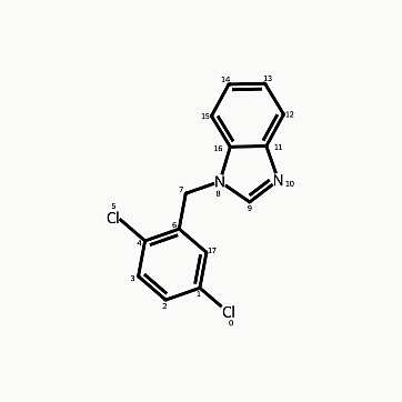 Clc1ccc(Cl)c(Cn2cnc3ccccc32)c1